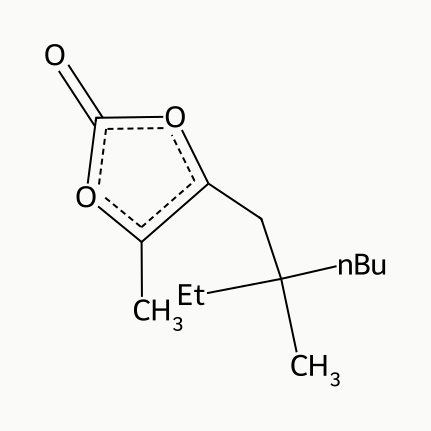 CCCCC(C)(CC)Cc1oc(=O)oc1C